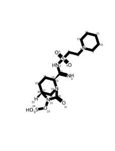 N=C(NS(=O)(=O)CCN1CCCCC1)[C@@H]1CC[C@@H]2CN1C(=O)N2OS(=O)(=O)O